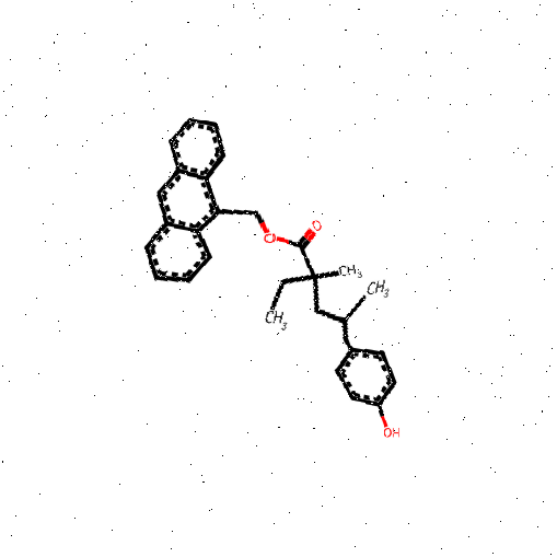 CCC(C)(CC(C)c1ccc(O)cc1)C(=O)OCc1c2ccccc2cc2ccccc12